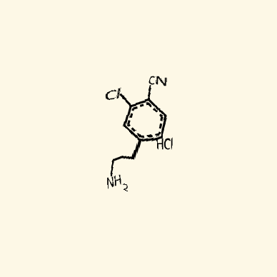 Cl.N#Cc1ccc(CCN)cc1Cl